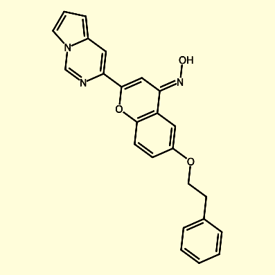 ON=c1cc(-c2cc3cccn3cn2)oc2ccc(OCCc3ccccc3)cc12